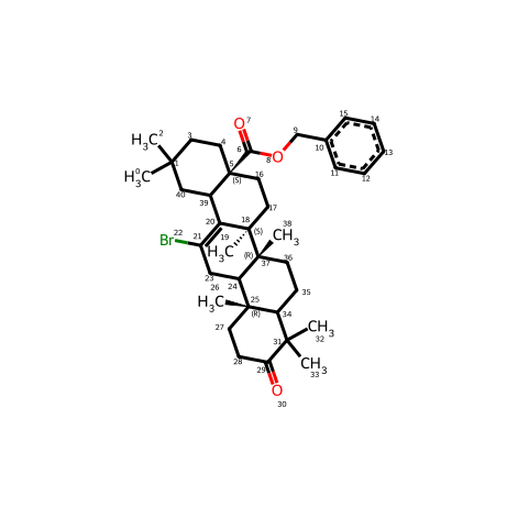 CC1(C)CC[C@]2(C(=O)OCc3ccccc3)CC[C@]3(C)C(=C(Br)CC4[C@@]5(C)CCC(=O)C(C)(C)C5CC[C@]43C)C2C1